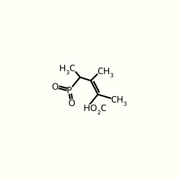 CC(C(=O)O)=C(C)C(C)P(=O)=O